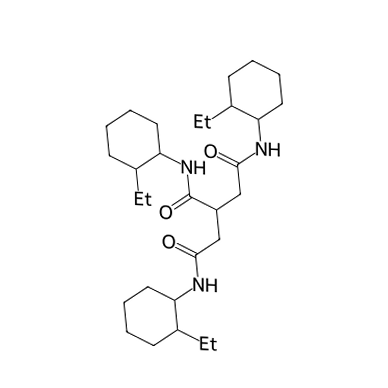 CCC1CCCCC1NC(=O)CC(CC(=O)NC1CCCCC1CC)C(=O)NC1CCCCC1CC